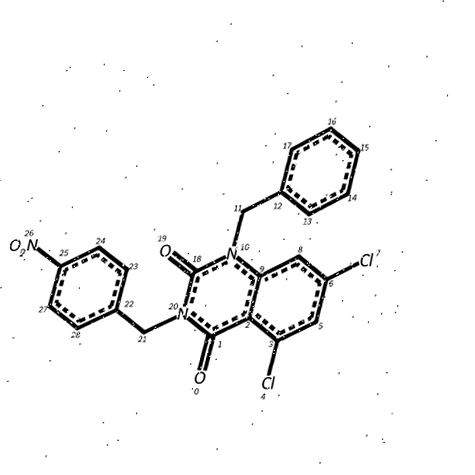 O=c1c2c(Cl)cc(Cl)cc2n(Cc2ccccc2)c(=O)n1Cc1ccc([N+](=O)[O-])cc1